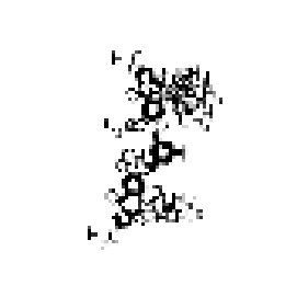 COc1cc2c(cc1OCc1cc(I)cc(COc3cc4c(cc3OC)C(=O)N3C=C(C)C[C@H]3[C@H](O[Si](C)(C)C(C)(C)C)N4C(=O)OC(C)(C)C)c1)N(C(=O)OC(C)(C)C)[C@@H](O)[C@@H]1CC(C)=CN1C2=O